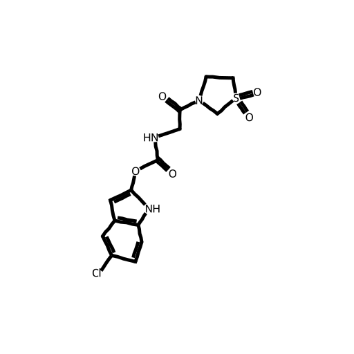 O=C(NCC(=O)N1CCS(=O)(=O)C1)Oc1cc2cc(Cl)ccc2[nH]1